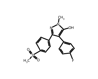 Cn1nc(-c2ccc(S(C)(=O)=O)cc2)c(-c2ccc(F)cc2)c1O